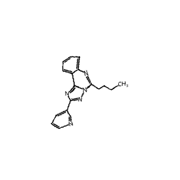 CCCCc1nc2ccccc2c2nc(-c3cccnc3)nn12